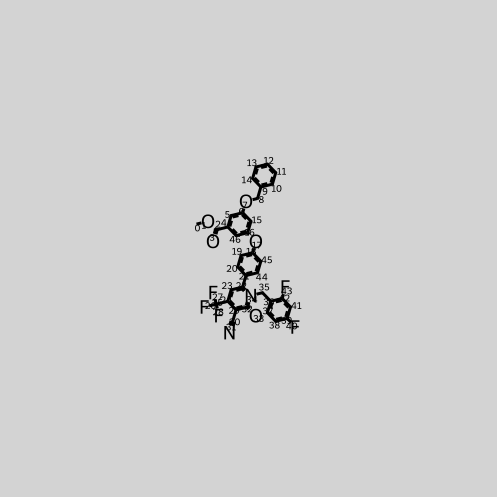 COC(=O)c1cc(OCc2ccccc2)cc(Oc2ccc(-c3cc(C(F)(F)F)c(C#N)c(=O)n3Cc3ccc(F)cc3F)cc2)c1